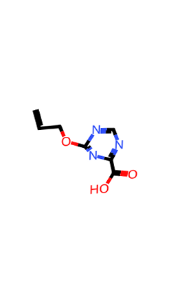 C=CCOc1ncnc(C(=O)O)n1